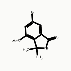 CSc1cc(Br)cc2c1C(C)(C)NC2=O